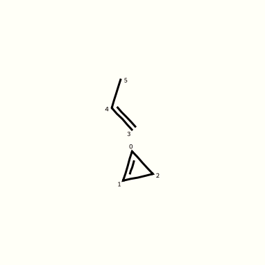 C1=CC1.C=CC